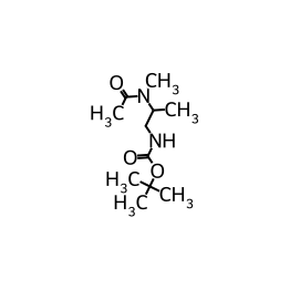 CC(=O)N(C)C(C)CNC(=O)OC(C)(C)C